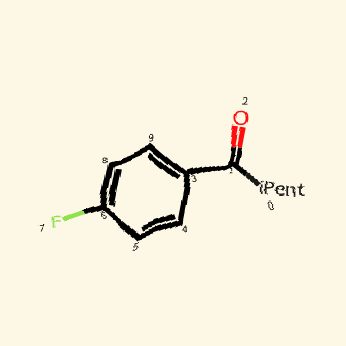 CCCC(C)C(=O)c1ccc(F)cc1